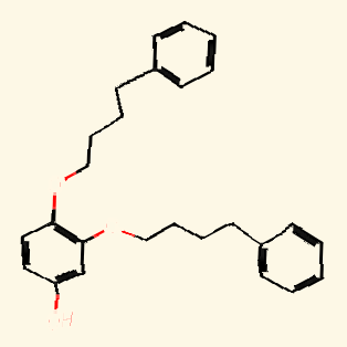 Oc1ccc(OCCCCc2ccccc2)c(OCCCCc2ccccc2)c1